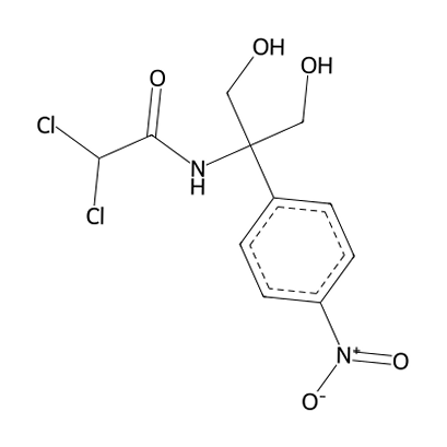 O=C(NC(CO)(CO)c1ccc([N+](=O)[O-])cc1)C(Cl)Cl